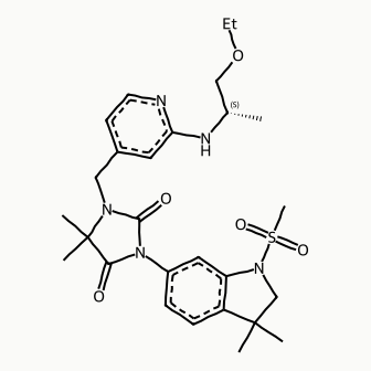 CCOC[C@H](C)Nc1cc(CN2C(=O)N(c3ccc4c(c3)N(S(C)(=O)=O)CC4(C)C)C(=O)C2(C)C)ccn1